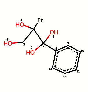 CCC(O)(CO)C(O)(O)c1ccccc1